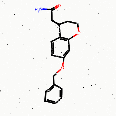 NC(=O)CC1CCOc2cc(OCc3ccccc3)ccc21